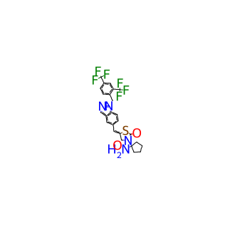 NC1(N2C(=O)S/C(=C\c3ccc4c(cnn4Cc4ccc(C(F)(F)F)cc4C(F)(F)F)c3)C2=O)CCCC1